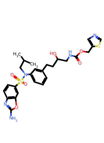 CC(C)CN(c1cccc(CCC(O)CNC(=O)OCc2cncs2)c1)S(=O)(=O)c1ccc2nc(N)oc2c1